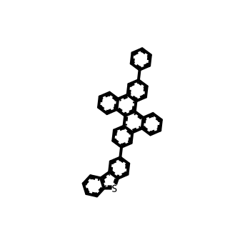 c1ccc(-c2ccc3c(c2)c2ccccc2c2c4ccc(-c5ccc6sc7ccccc7c6c5)cc4c4ccccc4c32)cc1